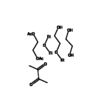 CC(=O)C(C)=O.CC(=O)OCCOC(C)=O.CCOCC.CCOCCO.OCCO